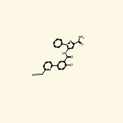 CNCc1cccc(-c2ccc(Cl)c(C(=O)Nc3cc(C(N)=O)nn3-c3ccccc3)c2)n1